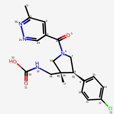 Cc1cc(C(=O)N2C[C@@H](c3ccc(Cl)cc3)[C@](C)(CNC(=O)O)C2)cnn1